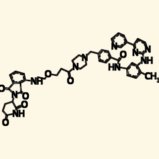 Cc1ccc(NC(=O)c2ccc(CN3CCN(C(=O)CCOCCNc4cccc5c4C(=O)N(C4CCC(=O)NC4=O)C5=O)CC3)cc2)cc1Nc1nccc(-c2cccnc2)n1